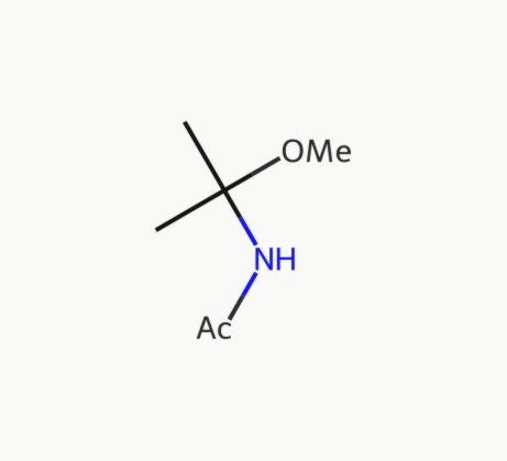 COC(C)(C)NC(C)=O